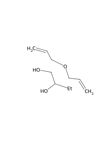 C=CCOCC=C.CCC(O)CO